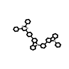 c1ccc(-c2cc(-c3ccc(-c4ccc5c(c4)c4ccccc4n5-c4cccc(-c5ccc6c7ccccc7n(-c7ccccc7)c6c5)c4)cc3)nc(-c3ccccc3)n2)cc1